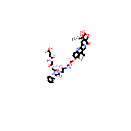 CCc1c2c(nc3ccc(OC(=O)OCNC(=O)CNC(=O)[C@H](Cc4ccccc4)NC(=O)CNC(=O)CNC(=O)CCC(=O)O)cc13)-c1cc3c(c(=O)n1C2)COC(=O)[C@]3(O)CC